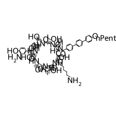 CCCCCOc1ccc(-c2ccc(-c3ccc(C(=O)N[C@H]4C[C@@H](O)[C@@H](OCCCCCCN)NC(=O)[C@@H]5[C@@H](O)[C@@H](C)CN5C(=O)C([C@@H](C)O)NC(=O)[C@H]([C@H](O)[C@@H](O)c5ccc(O)c(N)c5)NC(=O)[C@@H]5C[C@@H](O)CN5C(=O)[C@H](C(O)I)NC4=O)cc3)cc2)cc1